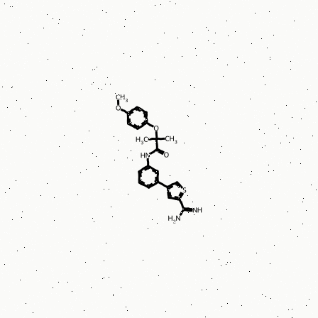 COc1ccc(OC(C)(C)C(=O)Nc2cccc(-c3csc(C(=N)N)c3)c2)cc1